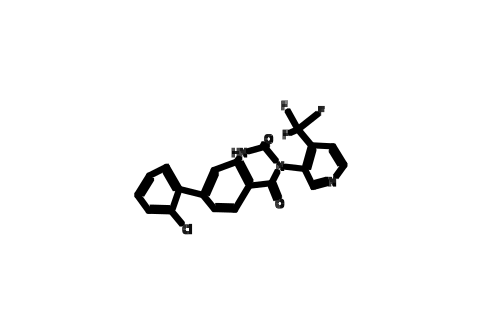 O=c1[nH]c2cc(-c3ccccc3Cl)ccc2c(=O)n1-c1cnccc1C(F)(F)F